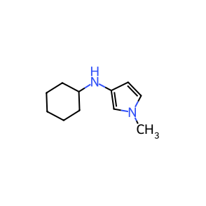 Cn1ccc(NC2CCCCC2)c1